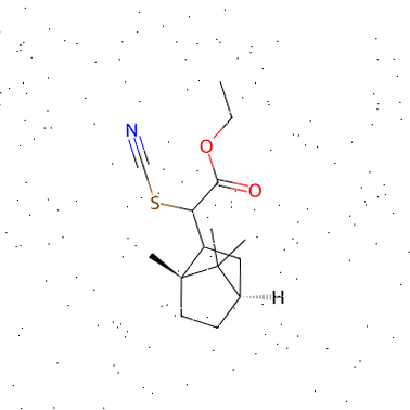 CCOC(=O)C(SC#N)C1C[C@H]2CC[C@@]1(C)C2(C)C